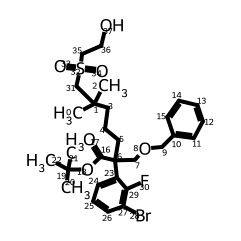 CC(C)(CCCC(COCc1ccccc1)(C(=O)OC(C)(C)C)c1cccc(Br)c1F)CS(=O)(=O)CCO